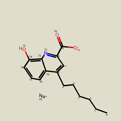 CCCCCCc1cc(C(=O)[O-])nc2c(O)cccc12.[Na+]